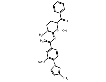 C=C(/N=C1/[C@@H](O)N(C(=O)c2ccccc2)CCN1N)c1ccc(-n2cnc(C)c2)c(OC)n1